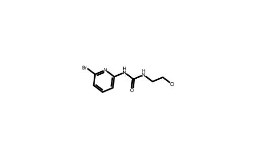 O=C(NCCCl)Nc1cccc(Br)n1